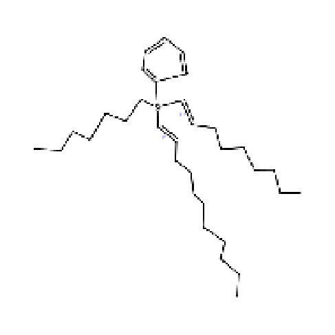 CCCCCCC/C=C/[Si](/C=C/CCCCCCCCC)(CCCCCCC)c1ccccc1